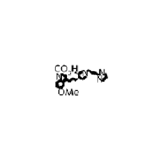 COc1ccc2nccc(CCC[C@@H]3CCN(CC#Cc4ncccn4)C[C@@H]3CC(=O)O)c2c1